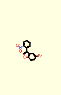 O=[N+]([O-])c1ccccc1-c1coc2ccc(Br)cc12